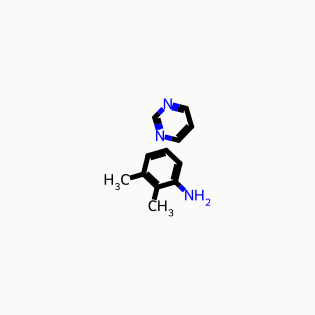 Cc1cccc(N)c1C.c1cncnc1